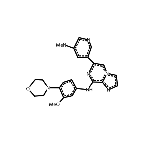 CNc1cncc(-c2cn3ccnc3c(Nc3ccc(N4CCOCC4)c(OC)c3)n2)c1